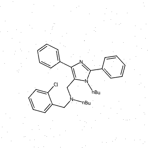 CCCCN(Cc1ccccc1Cl)Cc1c(-c2ccccc2)nc(-c2ccccc2)n1CCCC